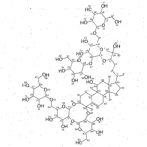 CC(CCC(OC1OC(COC2OC(CO)C(O)C(O)C2O)C(O)C(O)C1OC1OC(CO)C(O)C(O)C1O)C(C)(C)O)C1CCC2(C)C3CC=C4C(CCC5OC6OC(COC7OC(CO)C(O)C(O)C7O)C(O)C(O)C6OC6OC(CO)C(O)C(O)C6OC45C)C3(C)C(O)CC12C